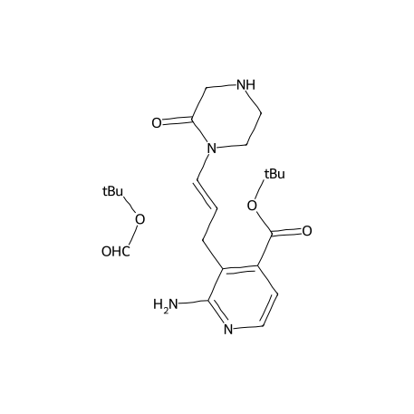 CC(C)(C)OC(=O)c1ccnc(N)c1CC=CN1CCNCC1=O.CC(C)(C)OC=O